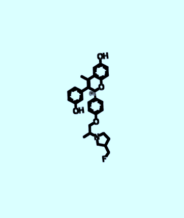 CC1=C(c2cccc(O)c2)[C@@H](c2ccc(OCC(C)N3CCC(CF)C3)cc2)Oc2ccc(O)cc21